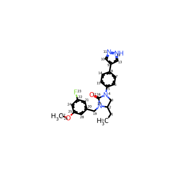 CCC1CN(c2ccc(-c3cn[nH]c3)cc2)C(=O)N1Cc1cc(F)cc(OC)c1